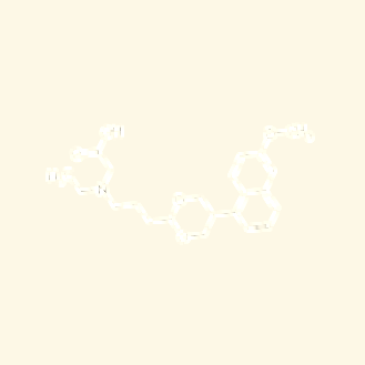 CCN(CCCC1OCC(c2cccc3cc(OC)ccc23)CO1)CC(=O)O